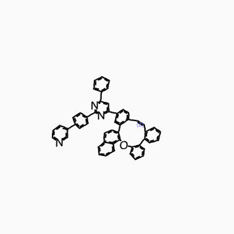 C1=C\c2ccc(-c3cc(-c4ccccc4)nc(-c4ccc(-c5cccnc5)cc4)n3)cc2-c2ccc3ccccc3c2Oc2ccccc2-c2ccccc2/1